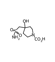 NS(=O)(=O)CC1(O)CCN(C(=O)O)CC1